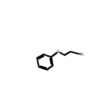 CC(C)CCSc1cc[c]cc1